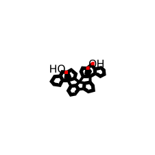 Oc1ccc(C2(c3ccc(O)cc3)c3c(cccc3-c3cccc4ccccc34)-c3cccc(-c4cccc5ccccc45)c32)cc1